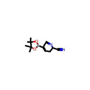 CC1(C)OB(C2=CCC(C#N)N=C2)OC1(C)C